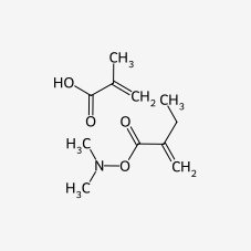 C=C(C)C(=O)O.C=C(CC)C(=O)ON(C)C